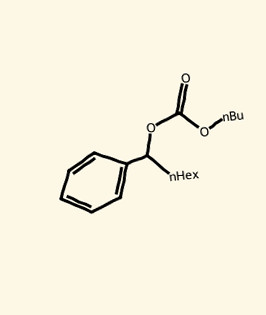 CCCCCCC(OC(=O)OCCCC)c1ccccc1